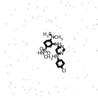 CNS(=O)(=O)c1ccc(N(C)C)c(Nc2cc(Nc3ccc(Cl)cc3)ncn2)c1